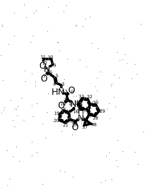 O=C(NC/C=C/C(=O)N1CCCO1)C(=O)NCc1ccccc1C(=O)NC1(c2cccc3ccccc23)CC1